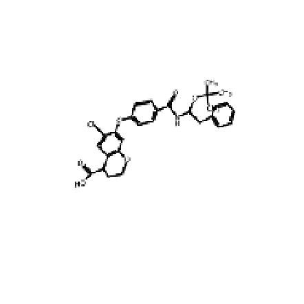 CC(C)(C)OC(Cc1ccccc1)NC(=O)c1ccc(Oc2cc3c(cc2Cl)C(C(=O)O)CCO3)cc1